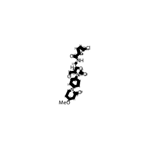 CO[C@@H]1CCN(c2ccc3c(c2)OC[C@H]2[C@H](CNC(=O)c4ccc(Cl)s4)OC(=O)N32)C(=O)C1